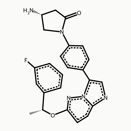 C[C@@H](Oc1ccc2ncc(-c3ccc(N4C[C@H](N)CC4=O)cc3)n2n1)c1cccc(F)c1